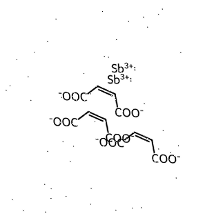 O=C([O-])/C=C\C(=O)[O-].O=C([O-])/C=C\C(=O)[O-].O=C([O-])/C=C\C(=O)[O-].[Sb+3].[Sb+3]